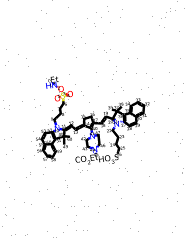 CCNOS(=O)(=O)CCCCN1/C(=C/C=C2\CCC(/C=C/C3=[N+](CCCCS(=O)(=O)O)c4ccc5ccccc5c4C3(C)C)=C2N2CCN(C(=O)OCC)CC2)C(C)(C)c2c1ccc1ccccc21